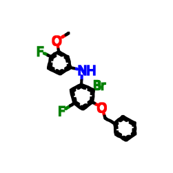 COc1cc(Nc2cc(F)cc(OCc3ccccc3)c2Br)ccc1F